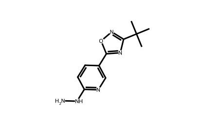 CC(C)(C)c1noc(-c2ccc(NN)nc2)n1